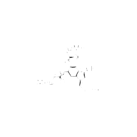 CCCCCC/C=C1\C=C(C(F)(F)F)c2cc(OC(=O)COC)c(OC(=O)COC)cc21